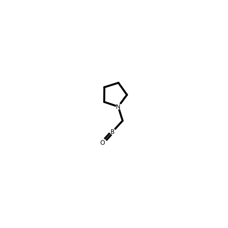 O=BCN1CCCC1